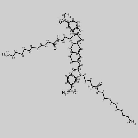 CCCCCCCCCCCC(=O)NCCCN1/C(=C/C2=CC3=C/C(=C/c4sc5ccc([S+](C)[O-])cc5[n+]4CCCNC(=O)CCCCCCCCCCC)CCC3CC2)Sc2ccc([S+](C)[O-])cc21